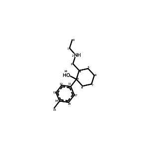 CCNCC1CCCCC1(O)c1ccc(C)cc1